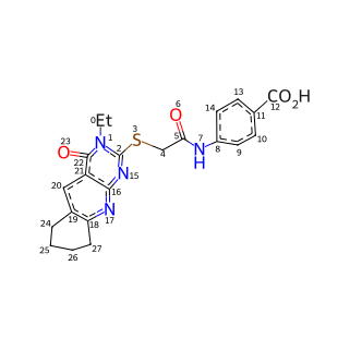 CCn1c(SCC(=O)Nc2ccc(C(=O)O)cc2)nc2nc3c(cc2c1=O)CCCC3